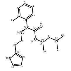 Cc1ccccc1[C@H](NCCc1cccs1)C(=O)O[C@H](C)CN(C)C